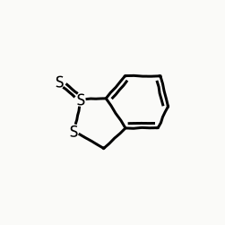 S=S1SCc2ccccc21